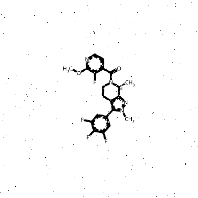 COc1nccc(C(=O)N2CCc3c(nn(C)c3-c3cc(F)c(F)c(F)c3)[C@@H]2C)c1F